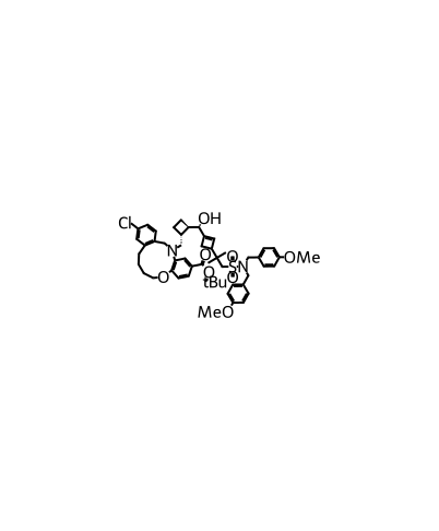 COc1ccc(CN(Cc2ccc(OC)cc2)S(=O)(=O)CC(C)(C)C2C=C([C@@H](O)[C@@H]3CC[C@H]3CN3Cc4ccc(Cl)cc4CCCCOc4ccc(C(=O)OC(C)(C)C)cc43)C2)cc1